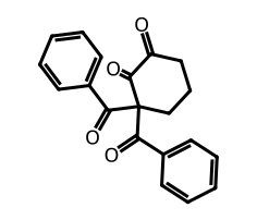 O=C1CCCC(C(=O)c2ccccc2)(C(=O)c2ccccc2)C1=O